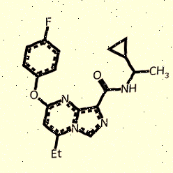 CCc1cc(Oc2ccc(F)cc2)nc2c(C(=O)NC(C)C3CC3)ncn12